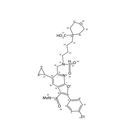 CCc1ccc(-c2oc3nc(CN(CCCCC4(C(=O)O)CCOCC4)[SH](=O)=O)c(C4CC4)cc3c2C(=O)NC)cc1